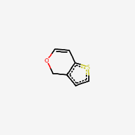 C1=Cc2sccc2CO1